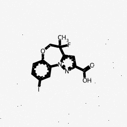 CC1(F)COc2ccc(I)cc2-n2nc(C(=O)O)cc21